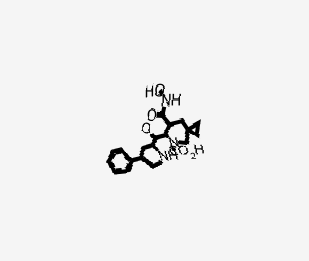 O=C(NO)C1CC2(CC2)CN(C(=O)O)C1C(=O)C1CC(c2ccccc2)=CCN1